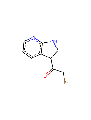 O=C(CBr)C1CNc2ncccc21